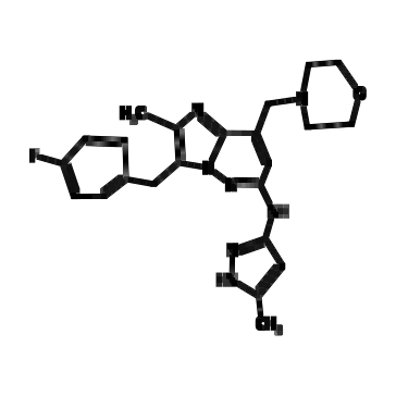 Cc1cc(Nc2cc(CN3CCOCC3)c3nc(C)c(Cc4ccc(F)cc4)n3n2)n[nH]1